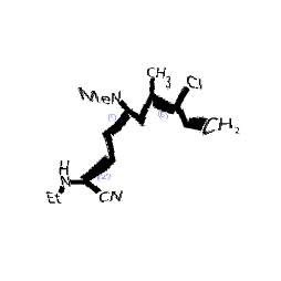 C=C/C(Cl)=C(/C)C/C(=C\C=C(\C#N)NCC)NC